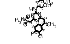 CC(C)C[C@H](CO)Nc1nc(C[C@H](C)c2ccc(F)c(Cl)c2)nc(CS(N)(=O)=O)n1